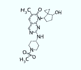 Cc1cc2cnc(NC3CCN(S(C)(=O)=O)CC3)nc2n([C@@H]2CCC(O)C23CC3)c1=O